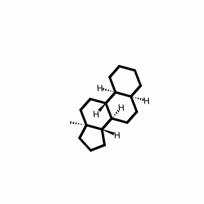 C[C@@]12CCC[C@H]1[C@@H]1CC[C@@H]3CCCC[C@@H]3[C@H]1CC2